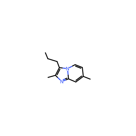 CCCc1c(C)nc2cc(C)ccn12